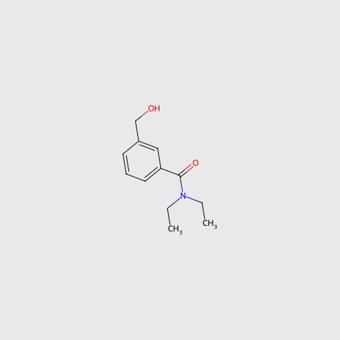 CCN(CC)C(=O)c1cccc(CO)c1